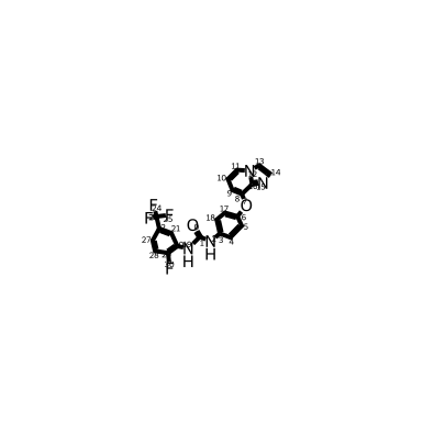 O=C(Nc1ccc(Oc2cccn3ccnc23)cc1)Nc1cc(C(F)(F)F)ccc1F